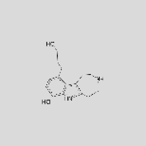 Cl.OCCCc1cccc2[nH]c3c(c12)CCNCC3